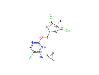 Fc1cnc(OCC2C=C(Cl)[C@H]3C(Cl)C23)nc1NC1CC1